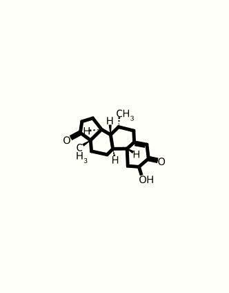 C[C@@H]1CC2=CC(=O)C(O)C[C@@H]2[C@H]2CC[C@]3(C)C(=O)CC[C@H]3[C@@H]21